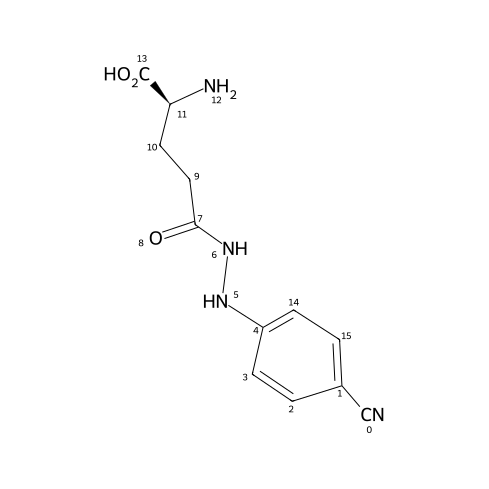 N#Cc1ccc(NNC(=O)CC[C@H](N)C(=O)O)cc1